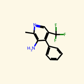 Cc1ncc(C(F)(F)F)c(-c2ccccc2)c1N